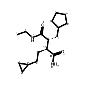 CCNC(=O)[C@H](CC1CCCC1)[C@H](CCC1CC1)C(N)=O